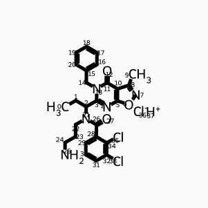 CCC(c1nc2onc(C)c2c(=O)n1Cc1ccccc1)N(CCCN)C(=O)c1cccc(Cl)c1Cl.[Cl-].[H+]